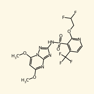 COc1cc(OC)n2nc(NS(=O)(=O)c3c(C(F)(F)F)ccnc3OCC(F)F)nc2n1